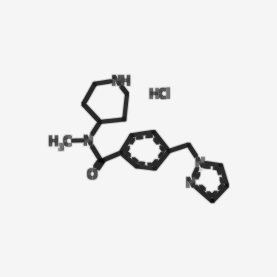 CN(C(=O)c1ccc(Cn2cccn2)cc1)C1CCNCC1.Cl